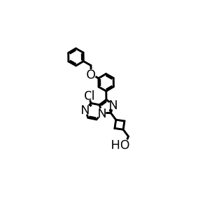 OCC1CC(c2nc(-c3cccc(OCc4ccccc4)c3)c3c(Cl)nccn23)C1